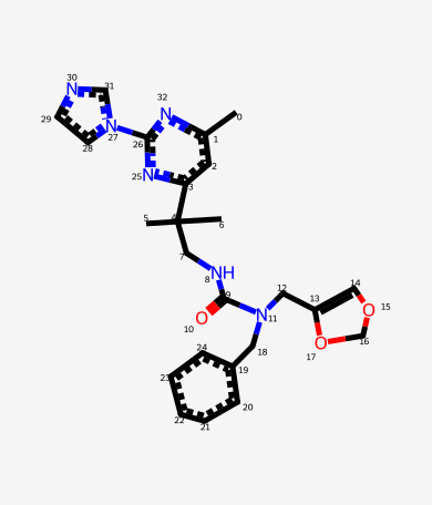 Cc1cc(C(C)(C)CNC(=O)N(CC2=COCO2)Cc2ccccc2)nc(-n2ccnc2)n1